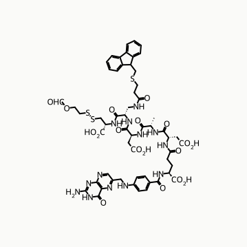 C[C@H](NC(=O)[C@H](CC(=O)O)NC(=O)CC[C@H](NC(=O)c1ccc(NCc2cnc3nc(N)[nH]c(=O)c3n2)cc1)C(=O)O)C(=O)N[C@@H](CC(=O)O)C(=O)N[C@@H](CNC(=O)CCSCC1c2ccccc2-c2ccccc21)C(=O)N[C@@H](CSSCCOC=O)C(=O)O